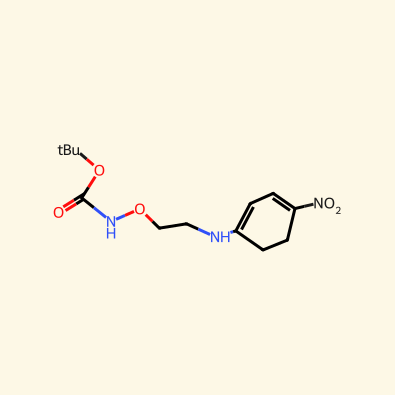 CC(C)(C)OC(=O)NOCCNC1=CC=C([N+](=O)[O-])CC1